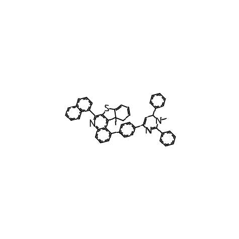 CN1C(c2ccccc2)=NC(c2ccc(-c3cccc4nc(-c5cccc6ccccc56)c5c(c34)C3(C)CC=CC=C3S5)cc2)=CC1c1ccccc1